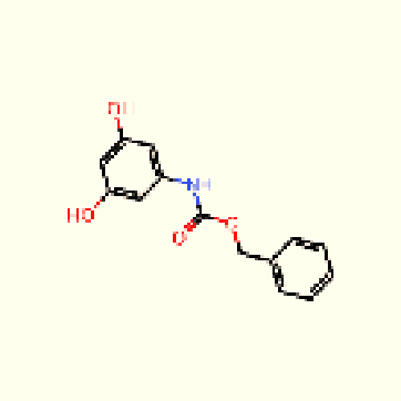 O=C(Nc1cc(O)cc(O)c1)OCc1ccccc1